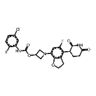 O=C1CCC(c2c(F)cc(N3CC(OC(=O)Nc4cc(Cl)ccc4F)C3)c3c2CCO3)C(=O)N1